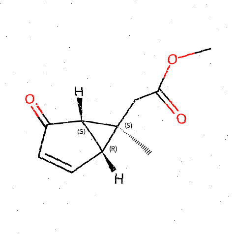 COC(=O)C[C@@]1(C)[C@@H]2C=CC(=O)[C@@H]21